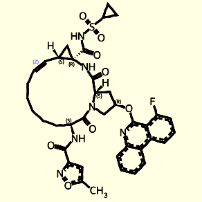 Cc1cc(C(=O)N[C@H]2CCCCC/C=C\[C@@H]3C[C@@]3(C(=O)NS(=O)(=O)C3CC3)NC(=O)[C@@H]3C[C@@H](Oc4nc5ccccc5c5cccc(F)c45)CN3C2=O)no1